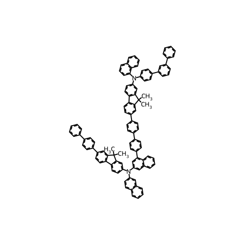 CC1(C)c2cc(-c3ccc(-c4ccccc4)cc3)ccc2-c2ccc(N(c3ccc4ccccc4c3)c3cc(-c4ccc(-c5ccc(-c6ccc7c(c6)C(C)(C)c6cc(N(c8ccc(-c9cccc(-c%10ccccc%10)c9)cc8)c8cccc9ccccc89)ccc6-7)cc5)cc4)c4ccccc4c3)cc21